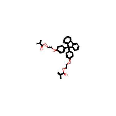 C=C(C)C(=O)OCCOc1ccc(C2(c3ccc(OCCOC(=O)C(=C)C)cc3)c3ccccc3-c3ccccc32)cc1